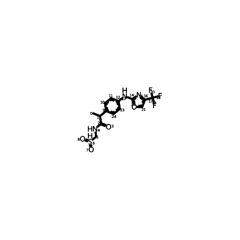 CC(C(=O)NC[SH](=O)=O)c1ccc(Nc2nc(C(F)(F)F)co2)cc1